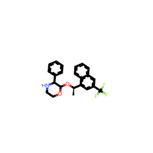 C[C@@H](OC1OCCNC1c1ccccc1)c1cc(C(F)(F)F)cc2ccccc12